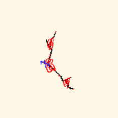 CCCCCC#CCOC(=O)OC(C/C=C\CCCCCCCCOC(=O)CCN(CCCN(C)C)CCC(=O)OCCCCCCCC/C=C\CC(CCCCCC)OC(=O)OCC#CCCCCC)CCCCCC